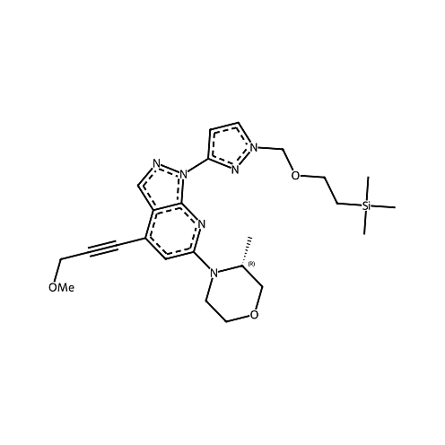 COCC#Cc1cc(N2CCOC[C@H]2C)nc2c1cnn2-c1ccn(COCC[Si](C)(C)C)n1